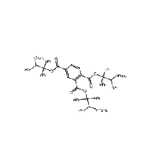 CCCCCC(CCC)C(CCC)(CCC)OC(=O)c1ccc(C(=O)OC(CCC)(CCC)C(CCC)CCCCC)c(C(=O)OC(CCC)(CCC)C(CCC)CCCCC)c1